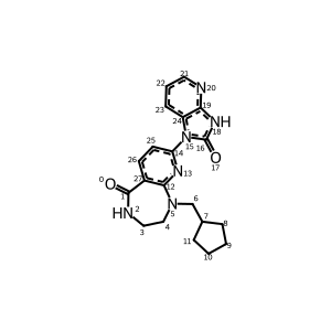 O=C1NCCN(CC2CCCC2)c2nc(-n3c(=O)[nH]c4ncccc43)ccc21